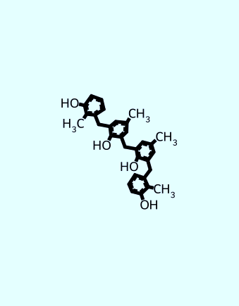 Cc1cc(Cc2cccc(O)c2C)c(O)c(Cc2cc(C)cc(Cc3cccc(O)c3C)c2O)c1